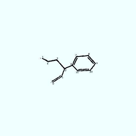 [CH]=CC(CC[CH2])c1ccccc1